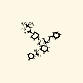 CC(C)(C)OC(=O)N1CCC(OC[C@@H]2[C@H](NC(=O)[C@@H]3CCCO3)CCCN2C(=O)OCc2ccccc2)CC1